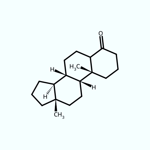 C[C@@]12CCC[C@H]1[C@@H]1CCC3C(=O)CCC[C@]3(C)[C@@H]1CC2